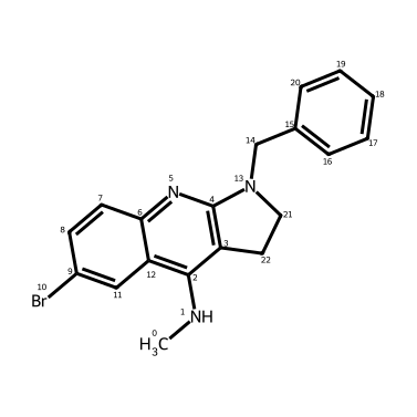 CNc1c2c(nc3ccc(Br)cc13)N(Cc1ccccc1)CC2